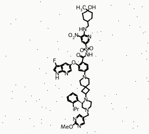 COc1ncc(CN2CCN(C3CC4(CCN(c5ccc(C(=O)NS(=O)(=O)c6cnc(NCC7CCC(C)(O)CC7)c([N+](=O)[O-])c6)c(Oc6cnc7[nH]cc(F)c7c6)c5)CC4)C3)[C@H](c3ccccc3C(C)C)C2)cn1